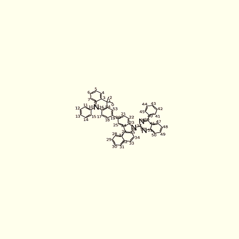 CC1(C)c2ccccc2N(c2ccccc2)c2ccc(-c3ccc4c(c3)c3c5ccccc5ccc3n4-c3nc(-c4ccccc4)c4ccccc4n3)cc21